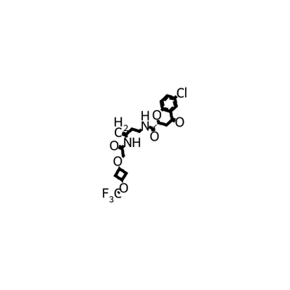 C=C(CCNC(=O)[C@H]1CC(=O)c2cc(Cl)ccc2O1)NC(=O)CO[C@H]1C[C@@H](OC(F)(F)F)C1